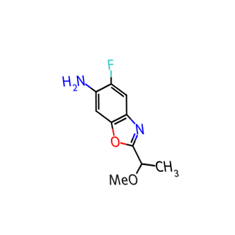 COC(C)c1nc2cc(F)c(N)cc2o1